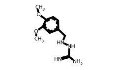 COc1ccc(CNNC(=N)N)cc1OC